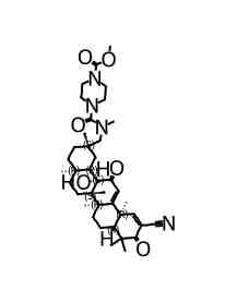 COC(=O)N1CCN(C(=O)N(C)C[C@@]2(C)CC[C@]3(C)CC[C@@]4(C)[C@]5(C)CC[C@H]6C(C)(C)C(=O)C(C#N)=C[C@]6(C)C5=CC(=O)[C@]4(O)[C@@H]3C2)CC1